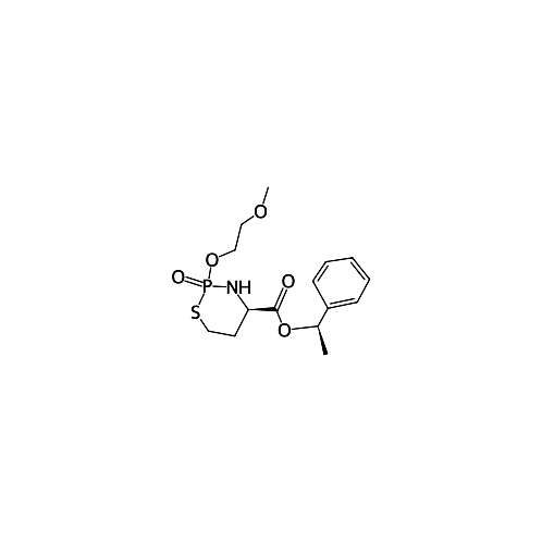 COCCOP1(=O)N[C@@H](C(=O)O[C@H](C)c2ccccc2)CCS1